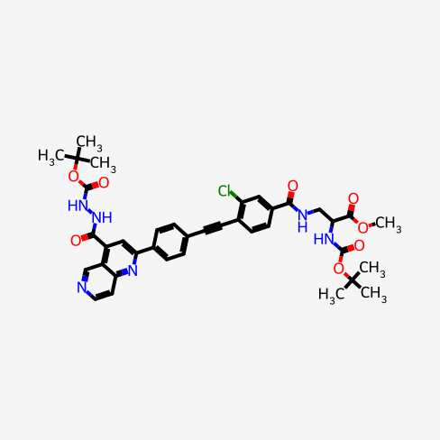 COC(=O)C(CNC(=O)c1ccc(C#Cc2ccc(-c3cc(C(=O)NNC(=O)OC(C)(C)C)c4cnccc4n3)cc2)c(Cl)c1)NC(=O)OC(C)(C)C